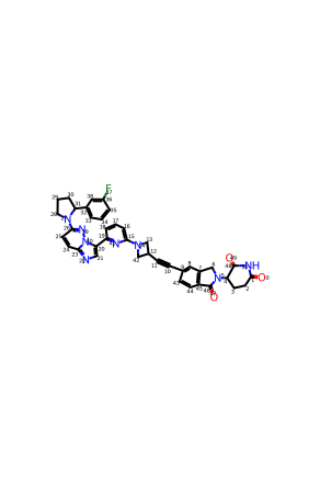 O=C1CCC(N2Cc3cc(C#CC4CN(c5cccc(-c6cnc7ccc(N8CCCC8c8cccc(F)c8)nn67)n5)C4)ccc3C2=O)C(=O)N1